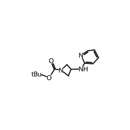 CC(C)(C)OC(=O)N1CC(Nc2ccccn2)C1